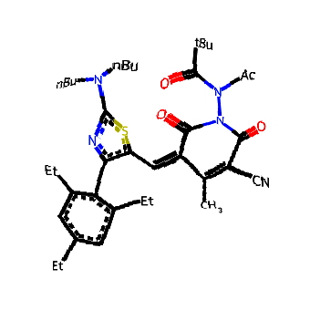 CCCCN(CCCC)c1nc(-c2c(CC)cc(CC)cc2CC)c(/C=C2\C(=O)N(N(C(C)=O)C(=O)C(C)(C)C)C(=O)C(C#N)=C2C)s1